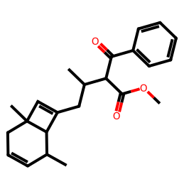 COC(=O)C(C(=O)c1ccccc1)C(C)CC1=CC2(C)CC=CC(C)C12